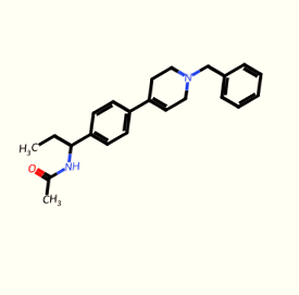 CCC(NC(C)=O)c1ccc(C2=CCN(Cc3ccccc3)CC2)cc1